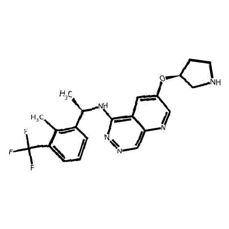 Cc1c([C@@H](C)Nc2nncc3ncc(O[C@H]4CCNC4)cc23)cccc1C(F)(F)F